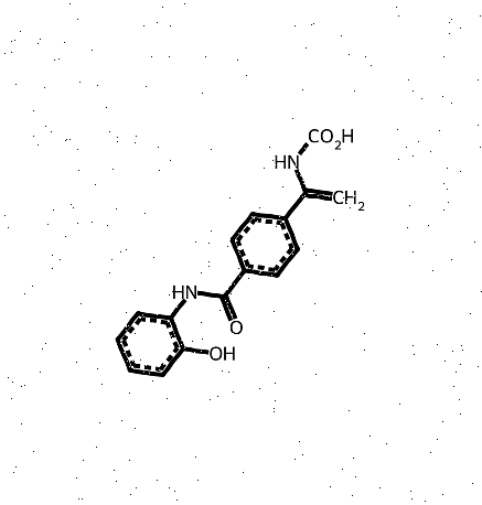 C=C(NC(=O)O)c1ccc(C(=O)Nc2ccccc2O)cc1